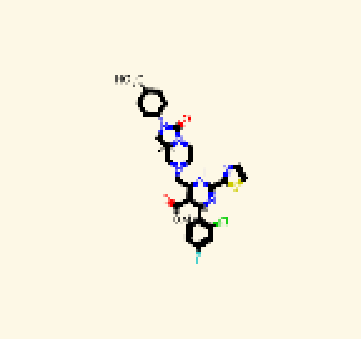 COC(=O)C1=C(CN2CCN3C(=O)N([C@H]4CC[C@H](C(=O)O)CC4)C[C@@H]3C2)NC(c2nccs2)=N[C@H]1c1ccc(F)cc1Cl